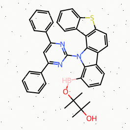 CC(C)(O)C(C)(C)OBc1cccc2c3ccc4sc5ccccc5c4c3n(-c3nc(-c4ccccc4)cc(-c4ccccc4)n3)c12